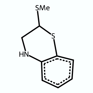 CSC1CNc2ccccc2S1